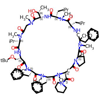 CC(C)C[C@@H]1NCC(C=O)(Cc2ccccc2)N(C)C(=O)[C@@H]2CCCN2C(=O)C[C@@H](C(=O)N2CCCCC2)N(C)C(=O)[C@H](Cc2ccccc2)N(C)C(=O)[C@H](Cc2ccccc2)N(C)C(=O)[C@H](COC(C)(C)C)NC(=O)[C@H](C(C)C)N(C)C(=O)CN(C)C(=O)[C@H]([C@@H](C)O)NC(=O)[C@H](CC(C)C)N(C)C1=O